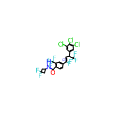 O=C(NC1CC(F)(F)C1)c1ccc(/C(F)=C/C(c2cc(Cl)c(Cl)c(Cl)c2)C(F)(F)F)cc1C(F)(F)F